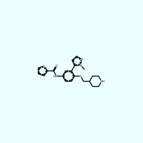 Cn1nccc1-c1cc(NC(=O)c2cccs2)ccc1OCC1CCNCC1